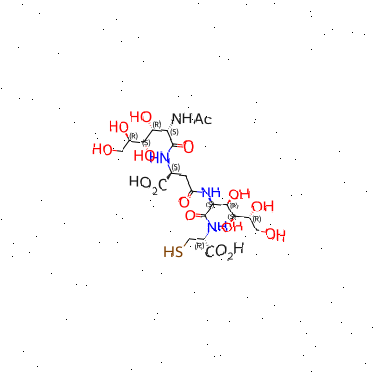 CC(=O)N[C@H](C(=O)N[C@@H](CC(=O)N[C@H](C(=O)N[C@@H](CS)C(=O)O)[C@@H](O)[C@H](O)[C@H](O)CO)C(=O)O)[C@@H](O)[C@H](O)[C@H](O)CO